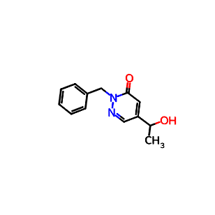 CC(O)c1cnn(Cc2ccccc2)c(=O)c1